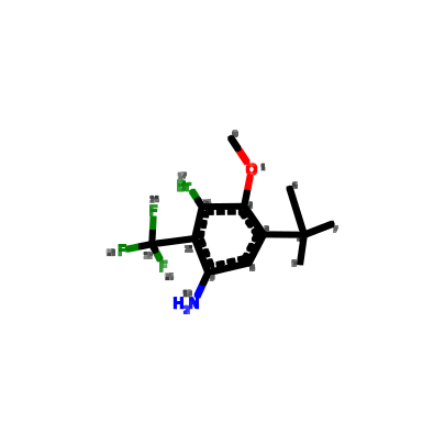 COc1c(C(C)(C)C)cc(N)c(C(F)(F)F)c1Br